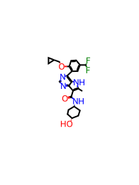 Cc1[nH]c2c(-c3cc(C(F)F)ccc3OCC3CC3)ncnc2c1C(=O)N[C@H]1CC[C@@H](O)CC1